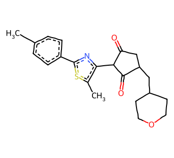 Cc1ccc(-c2nc(C3C(=O)CC(CC4CCOCC4)C3=O)c(C)s2)cc1